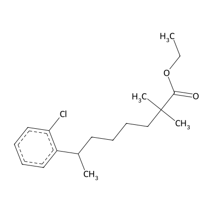 CCOC(=O)C(C)(C)CCCCC(C)c1ccccc1Cl